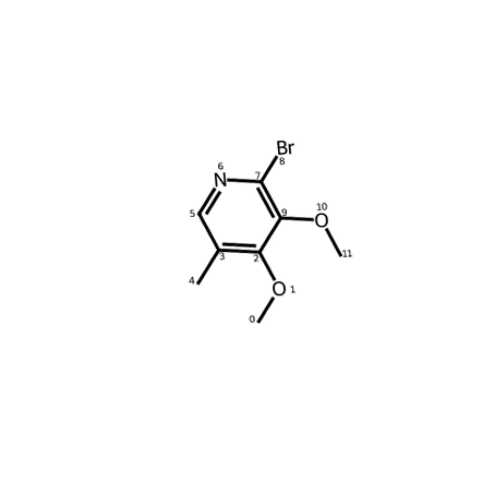 COc1c(C)cnc(Br)c1OC